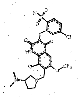 CCS(=O)(=O)c1ccc(Cl)cc1Cn1c(=O)[nH]c2c(Cl)c(CN3CC[C@@H](N(C)C)C3)c(OC(F)(F)F)cc2c1=O